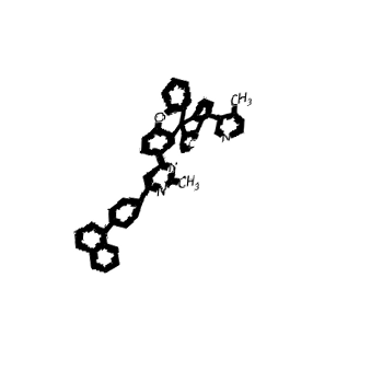 Cc1nc(-c2ccc(-c3cccc4ccccc34)cc2)cc(-c2ccc3c(c2)C2(c4ccccc4O3)c3ccccc3-c3c(-c4cnccc4C)cccc32)n1